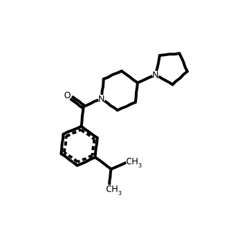 CC(C)c1cccc(C(=O)N2CCC(N3CCCC3)CC2)c1